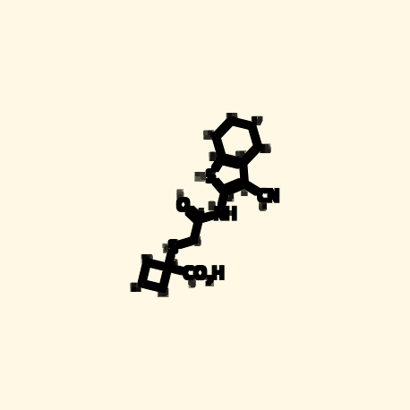 N#Cc1c(NC(=O)CSC2(C(=O)O)CCC2)sc2c1CCCC2